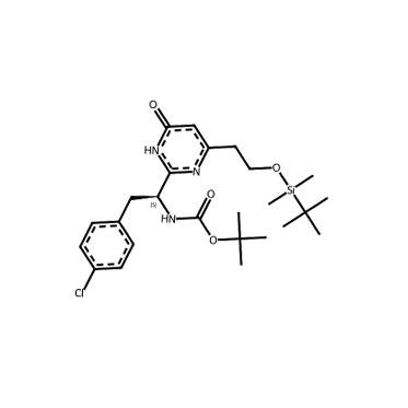 CC(C)(C)OC(=O)N[C@@H](Cc1ccc(Cl)cc1)c1nc(CCO[Si](C)(C)C(C)(C)C)cc(=O)[nH]1